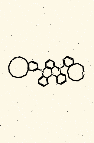 c1ccc2c(c1)B1c3ccccc3N(c3cccc4c3CCCCCCCC4)c3cccc(c31)N2c1ccc2c(c1)CCCCCCCCCC2